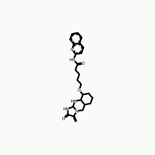 C=C1C(=O)NC2NC3C(CCCC3OCCCCC(=O)Nc3ccc4ccccc4n3)CN12